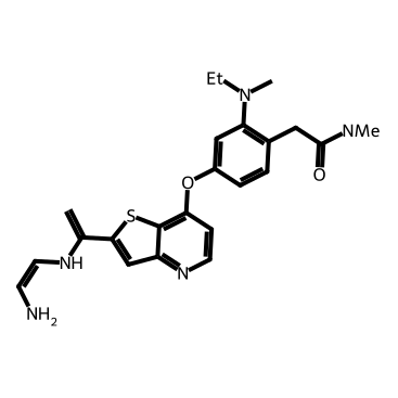 C=C(N/C=C\N)c1cc2nccc(Oc3ccc(CC(=O)NC)c(N(C)CC)c3)c2s1